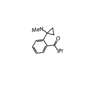 CNC1(c2ccccc2C(=O)C(C)C)CC1